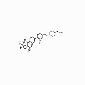 CCC[C@H]1CC[C@H](CCc2ccc(-c3ccc4c(F)c(OC(F)(F)F)c(F)cc4c3)c(F)c2)CC1